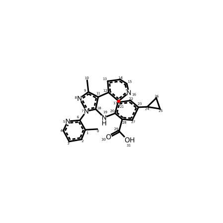 Cc1cccnc1-n1nc(C)c(-c2cccnc2)c1Nc1ccc(C2CC2)cc1C(=O)O